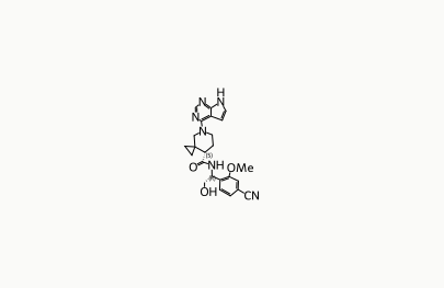 COc1cc(C#N)ccc1[C@H](CO)NC(=O)[C@H]1CCN(c2ncnc3[nH]ccc23)CC12CC2